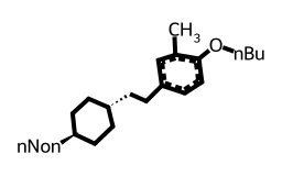 CCCCCCCCC[C@H]1CC[C@H](CCc2ccc(OCCCC)c(C)c2)CC1